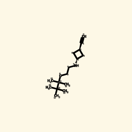 C#C[C@H]1C[C@H](NCCO[Si](C)(C)C(C)(C)C)C1